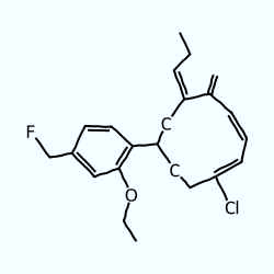 C=C1/C=C\C=C(\Cl)CCC(c2ccc(CF)cc2OCC)C/C1=C/CC